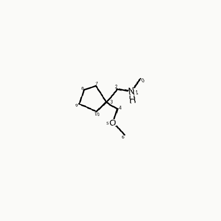 CNCC1(COC)CCCC1